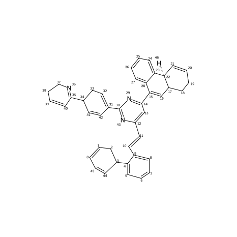 C1=CCC(c2ccccc2/C=C/c2cc(C3=CC4CCC=C[C@@H]4c4ccccc43)nc(C3=CCC(C4=NCCC=C4)C=C3)n2)C=C1